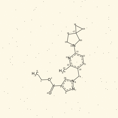 CCOC(=O)c1cnn(Cc2ccc(N3CCC4(CC4)C3)nc2C)c1